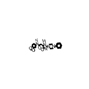 O=C(CC1NC(N2CCN(c3ccccc3)CC2)=NC1=O)Nc1ccc2c(c1)OCO2